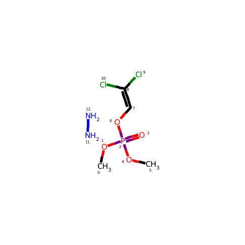 COP(=O)(OC)OC=C(Cl)Cl.NN